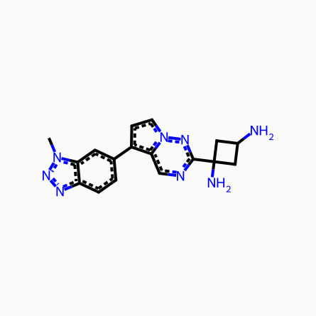 Cn1nnc2ccc(-c3ccn4nc(C5(N)CC(N)C5)ncc34)cc21